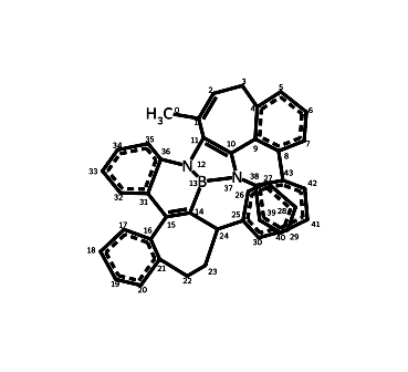 CC1=CCc2cccc3c2C2=C1N1B(C4=C(c5ccccc5CCC4c4ccccc4)c4ccccc41)N2c1ccccc1-3